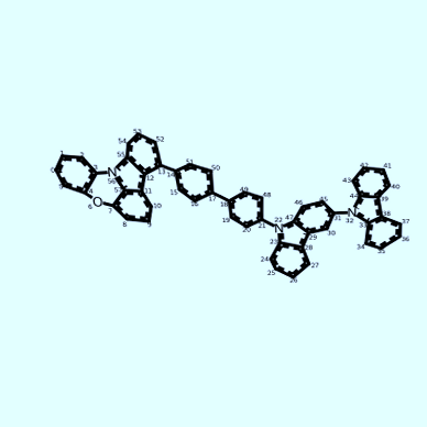 c1ccc2c(c1)Oc1cccc3c4c(-c5ccc(-c6ccc(-n7c8ccccc8c8cc(-n9c%10ccccc%10c%10ccccc%109)ccc87)cc6)cc5)cccc4n-2c13